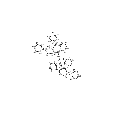 C(#C[Si](c1ccccc1)(c1ccccc1)c1cccc(-c2ccccc2)c1)c1c2ccccc2c(-c2ccccc2)c2cc(-c3ccccc3)ccc12